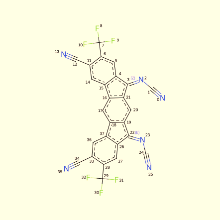 N#C/N=c1/c2cc(C(F)(F)F)c(C#N)cc2c2cc3c(cc12)/c(=N/C#N)c1cc(C(F)(F)F)c(C#N)cc13